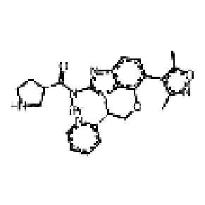 Cc1noc(C)c1-c1ccc2nc(N(C(=O)[C@@H]3CCNC3)C(C)C)n3c2c1OC[C@@H]3c1ccccn1